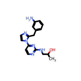 CC(O)CNc1nccc(-n2ccnc2Cc2cccc(N)c2)n1